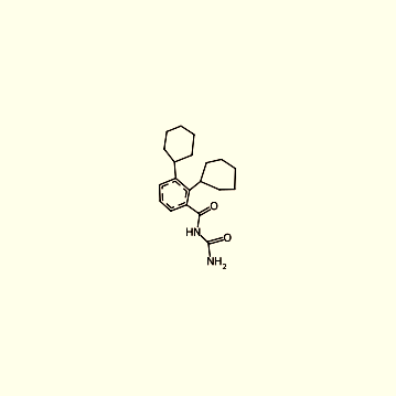 NC(=O)NC(=O)c1cccc(C2CCCCC2)c1C1CCCCC1